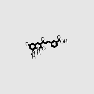 CNc1cc(F)cc2cc(C(=O)/C=C/c3cccc(C(=O)O)c3)c(=O)[nH]c12